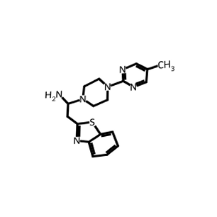 Cc1cnc(N2CCN(C(N)Cc3nc4ccccc4s3)CC2)nc1